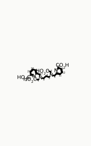 O=C(O)CN(CCCN(CC(=O)O)Cc1cccc(C(=O)O)n1)Cc1cccc(C(=O)O)n1